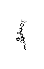 CCCCO/C=C/c1c(C)c2cnc(Nc3ccc(N4CCN(C(=O)O)CC4)cn3)nc2n(C2CCCC2)c1=O